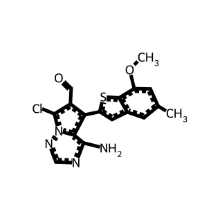 COc1cc(C)cc2cc(-c3c(C=O)c(Cl)n4ncnc(N)c34)sc12